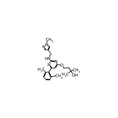 Cc1cccc(C)c1-c1cc(OCCC(C)(C)O)nc(NSc2cnn(C)c2)n1